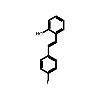 Oc1ccccc1/C=C/c1ccc(F)cc1